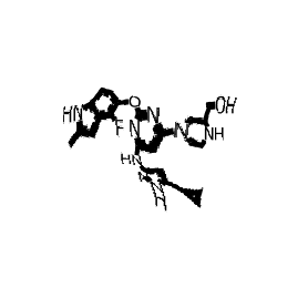 Cc1cc2c(F)c(Oc3nc(Nc4cc(C5CC5)[nH]n4)cc(N4CCNC(CO)C4)n3)ccc2[nH]1